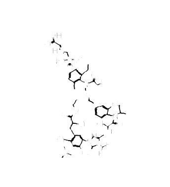 CC1COc2ccccc2N1C(=O)C(Cl)Cl.CCOC(=O)C(Cl)Cc1cc(-n2nc(C)n(C(F)F)c2=O)c(F)cc1Cl.CCOCN(C(=O)CCl)c1c(C)cccc1CC.C[S+](C)C.O=C(O)CNCP(=O)([O-])O